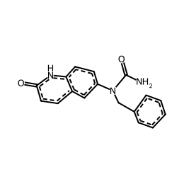 NC(=O)N(Cc1ccccc1)c1ccc2[nH]c(=O)ccc2c1